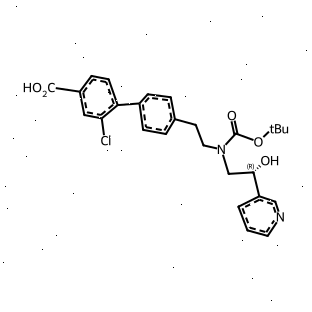 CC(C)(C)OC(=O)N(CCc1ccc(-c2ccc(C(=O)O)cc2Cl)cc1)C[C@H](O)c1cccnc1